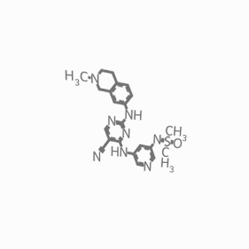 CN1CCc2ccc(Nc3ncc(C#N)c(Nc4cncc(N=S(C)(C)=O)c4)n3)cc2C1